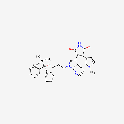 CN1C=CC(C2=C(c3cn(CCCO[Si](c4ccccc4)(c4ccccc4)C(C)(C)C)c4ncccc34)C(=O)NC2=O)C1